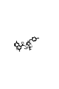 Cc1ccc2nc(C)cc(C(=O)Nc3cn(Cc4ccc(F)cc4)nc3C(F)(F)F)c2c1